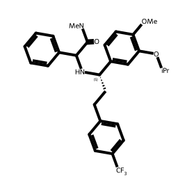 CNC(=O)C(N[C@@H](CCc1ccc(C(F)(F)F)cc1)c1ccc(OC)c(OC(C)C)c1)c1ccccc1